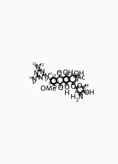 CN(C)c1nc(N(C)C)nc(N(C)C)n1.COc1cccc2c1C(=O)c1c(O)c3c(c(O)c1C2=O)C[C@@](O)(C(C)=O)C[C@@H]3O[C@H]1C[C@H](N)[C@H](O)[C@H](C)O1